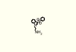 NCCCn1cc(S(=O)(=O)c2ccccc2)c2ccccc21